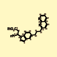 CCCC(CC(=O)OCC)n1ccc2cc(CCCc3ccc4cccnc4n3)ccc21